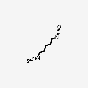 O=C=NCCCCCN=C=S